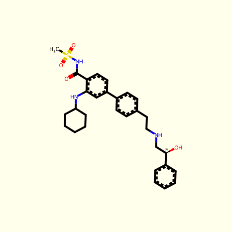 CS(=O)(=O)NC(=O)c1ccc(-c2ccc(CCNC[C@@H](O)c3ccccc3)cc2)cc1NC1CCCCC1